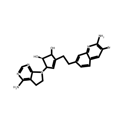 Nc1nc2cc(CCC3=CC(N4CCc5c(N)ncnc54)[C@@H](O)C3O)ccc2cc1Br